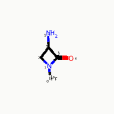 CC(C)N1CC(N)C1=O